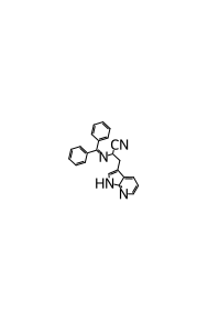 N#CC(Cc1c[nH]c2ncccc12)N=C(c1ccccc1)c1ccccc1